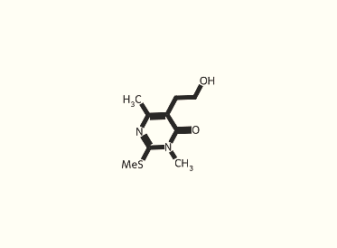 CSc1nc(C)c(CCO)c(=O)n1C